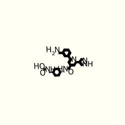 NCc1cccc(-c2cc(C(=O)NC[C@H]3CC[C@H](CNC(=O)O)CC3)cc(-c3cn[nH]c3)n2)c1